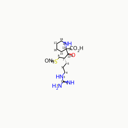 N=C(N)NCCC[C@H](CSN=O)C(=O)C1(C(=O)O)CCCCN1